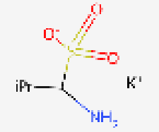 CC(C)C(N)S(=O)(=O)[O-].[K+]